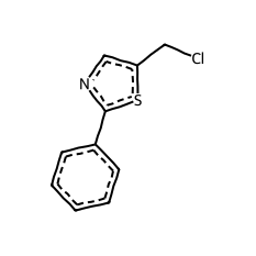 ClCc1cnc(-c2ccccc2)s1